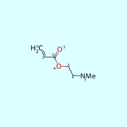 C=CC(=O)OCCNC